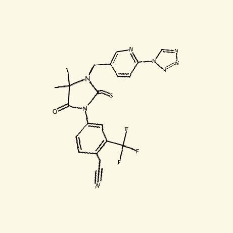 CC1(C)C(=O)N(c2ccc(C#N)c(C(F)(F)F)c2)C(=S)N1Cc1ccc(-n2cnnn2)nc1